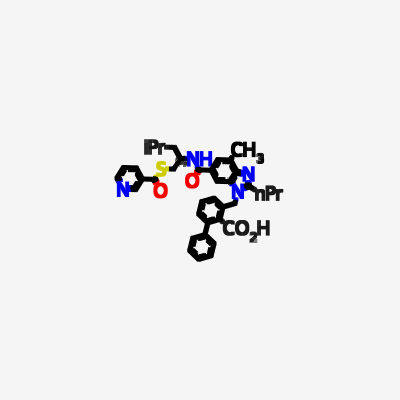 CCCc1nc2c(C)cc(C(=O)N[C@@H](CSC(=O)c3cccnc3)CC(C)C)cc2n1Cc1cccc(-c2ccccc2)c1C(=O)O